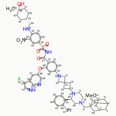 COC12CC3CC(CC(CN4CCN(C5CC6(C5)CN(c5ccc(C(=O)NS(=O)(=O)c7ccc(NC[C@H]8CC[C@](C)(O)CC8)c([N+](=O)[O-])c7)c(Oc7cnc8[nH]cc(F)c8c7)c5)C6)[C@H](c5ccccc5C(C)C)C4)(C3)C1)C2